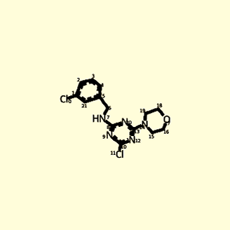 Clc1cccc(CNc2nc(Cl)nc(N3CCOCC3)n2)c1